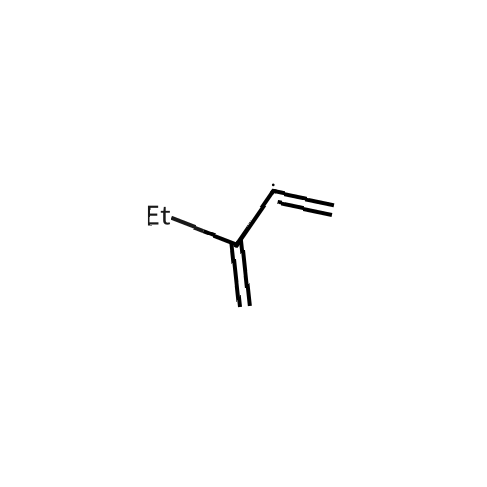 C=[C]C(=C)CC